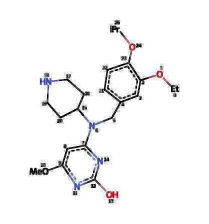 CCOc1cc(CN(c2cc(OC)nc(O)n2)C2CCNCC2)ccc1OC(C)C